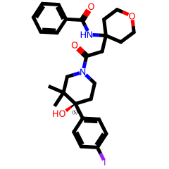 CC1(C)CN(C(=O)CC2(NC(=O)c3ccccc3)CCOCC2)CC[C@]1(O)c1ccc(I)cc1